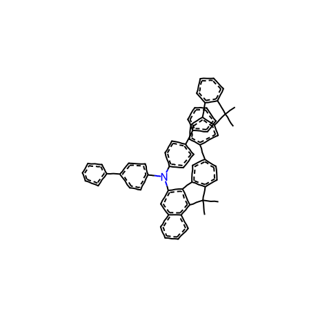 CC1(C)c2ccccc2-c2ccc(-c3ccc4c(c3)-c3c(N(c5ccc(-c6ccccc6)cc5)c5ccc(-c6ccccc6)cc5)cc5ccccc5c3C4(C)C)cc21